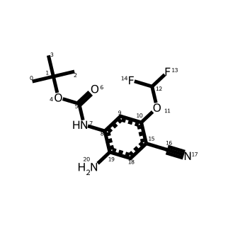 CC(C)(C)OC(=O)Nc1cc(OC(F)F)c(C#N)cc1N